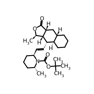 C[C@@H]1CCC[C@@H](/C=C/[C@H]2[C@@H]3CCCC[C@H]3C[C@H]3C(=O)O[C@H](C)[C@@H]23)N1C(=O)OC(C)(C)C